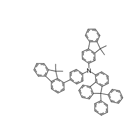 CC1(C)c2ccccc2-c2ccc(N(c3ccc(-c4cccc5c4C(C)(C)c4ccccc4-5)cc3)c3cccc4c3-c3ccccc3C4(c3ccccc3)c3ccccc3)cc21